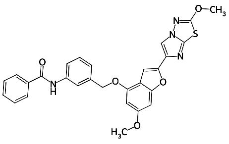 COc1cc(OCc2cccc(NC(=O)c3ccccc3)c2)c2cc(-c3cn4nc(OC)sc4n3)oc2c1